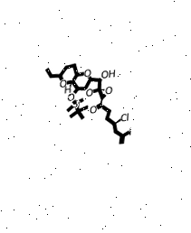 C=C(I)C[C@H](Cl)CCC(=O)[C@@H]1O[C@@]12OC1C(OC3CCC(CC)O[C@@H]3C1O[Si](C)(C)C(C)(C)C)C2O